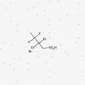 CC[N+](CC)(CS(=O)(=O)O)C(C)(F)F.[Br-]